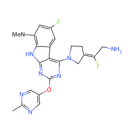 CNc1cc(F)cc2c1[nH]c1nc(Oc3cnc(C)nc3)nc(N3CC/C(=C(/F)CN)C3)c12